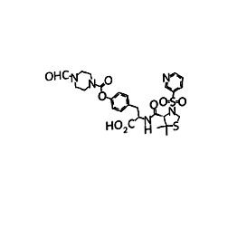 CC1(C)SCN(S(=O)(=O)c2cccnc2)[C@@H]1C(=O)NC(Cc1ccc(OC(=O)N2CCN(C=O)CC2)cc1)C(=O)O